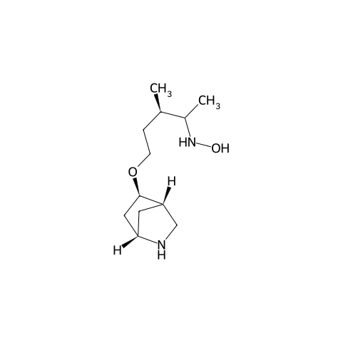 CC(NO)[C@H](C)CCO[C@@H]1C[C@@H]2C[C@H]1CN2